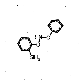 [SiH3]c1ccccc1ONOc1ccccc1